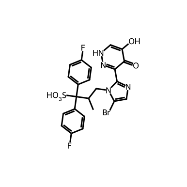 CC(Cn1c(Br)cnc1-c1n[nH]cc(O)c1=O)C(c1ccc(F)cc1)(c1ccc(F)cc1)S(=O)(=O)O